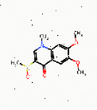 COc1cc2c(=O)c([S+](C)[O-])cn(C)c2cc1OC